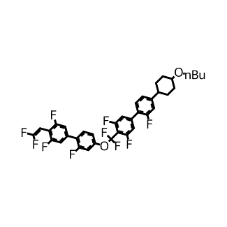 CCCCOC1CCC(c2ccc(-c3cc(F)c(C(F)(F)Oc4ccc(-c5cc(F)c(C=C(F)F)c(F)c5)c(F)c4)c(F)c3)c(F)c2)CC1